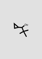 CC(C)(C)C(O)C1CC1